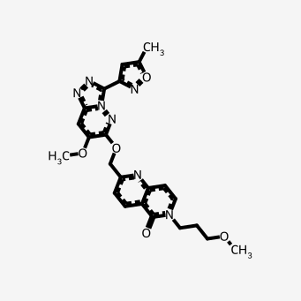 COCCCn1ccc2nc(COc3nn4c(-c5cc(C)on5)nnc4cc3OC)ccc2c1=O